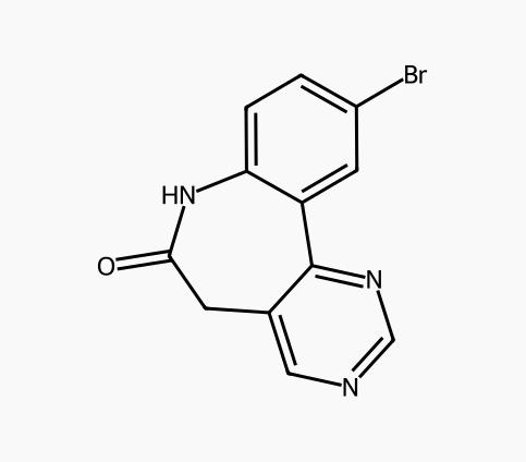 O=C1Cc2cncnc2-c2cc(Br)ccc2N1